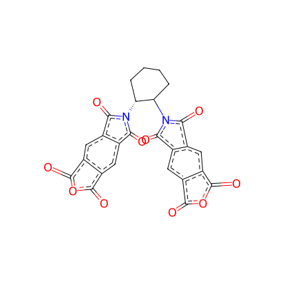 O=c1oc(=O)c2cc3c(=O)n(C4CCCC[C@H]4n4c(=O)c5cc6c(=O)oc(=O)c6cc5c4=O)c(=O)c3cc12